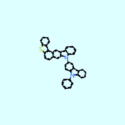 c1ccc(-n2c3ccccc3c3cc(-n4c5ccccc5c5cc6c(ccc7sc8ccccc8c76)cc54)ccc32)cc1